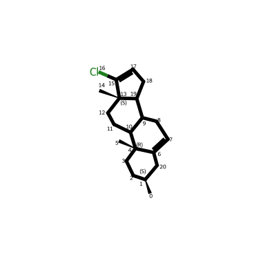 C[C@H]1CC[C@@]2(C)C(=CCC3C2CC[C@]2(C)C(Cl)=CCC32)C1